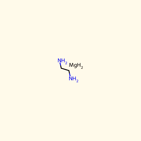 NCCN.[MgH2]